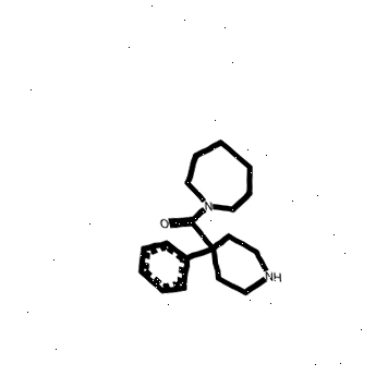 O=C(N1CCCCCC1)C1(c2ccccc2)CCNCC1